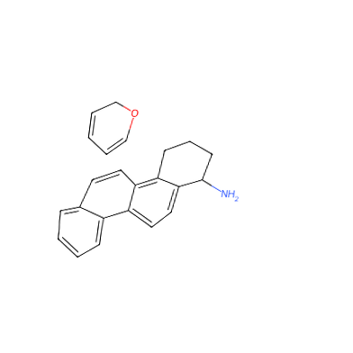 C1=CCOC=C1.NC1CCCc2c1ccc1c2ccc2ccccc21